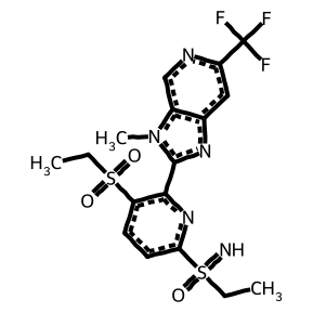 CCS(=N)(=O)c1ccc(S(=O)(=O)CC)c(-c2nc3cc(C(F)(F)F)ncc3n2C)n1